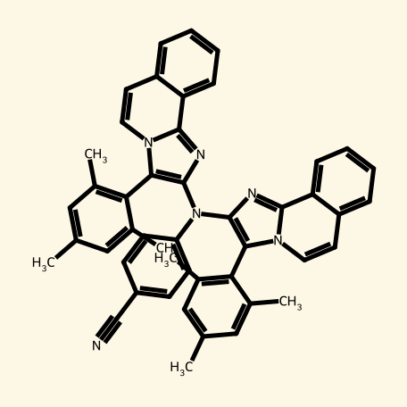 Cc1cc(C)c(-c2c(N(c3ccc(C#N)cc3)c3nc4c5ccccc5ccn4c3-c3c(C)cc(C)cc3C)nc3c4ccccc4ccn23)c(C)c1